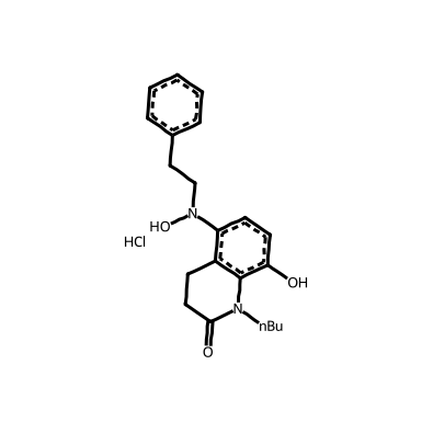 CCCCN1C(=O)CCc2c(N(O)CCc3ccccc3)ccc(O)c21.Cl